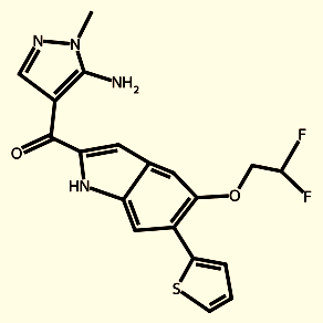 Cn1ncc(C(=O)c2cc3cc(OCC(F)F)c(-c4cccs4)cc3[nH]2)c1N